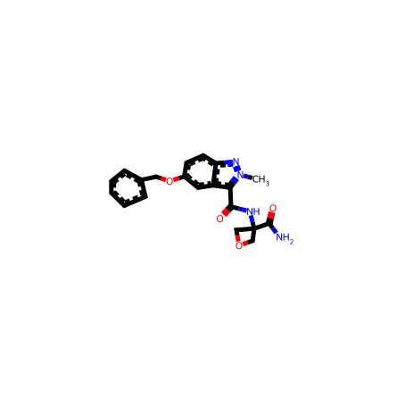 Cn1nc2ccc(OCc3ccccc3)cc2c1C(=O)NC1(C(N)=O)COC1